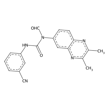 Cc1nc2ccc(N(C=O)C(=O)Nc3cccc(C#N)c3)cc2nc1C